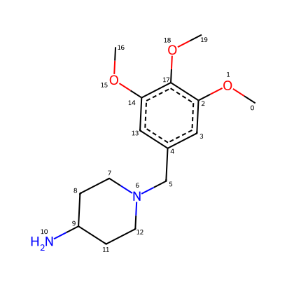 COc1cc(CN2CCC(N)CC2)cc(OC)c1OC